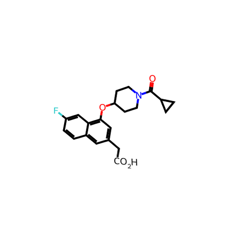 O=C(O)Cc1cc(OC2CCN(C(=O)C3CC3)CC2)c2cc(F)ccc2c1